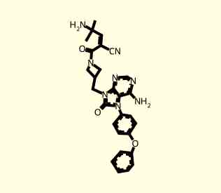 CC(C)(N)/C=C(/C#N)C(=O)N1CC(Cn2c(=O)n(-c3ccc(Oc4ccccc4)cc3)c3c(N)ncnc32)C1